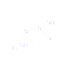 CC(C)Nc1cccnc1-c1cccc(C(=O)N2CCCC2)c1C(=O)N1CCNCC1